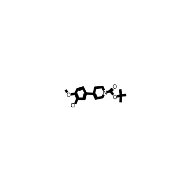 COc1ccc(C2=CCN(C(=O)OC(C)(C)C)CC2)cc1Cl